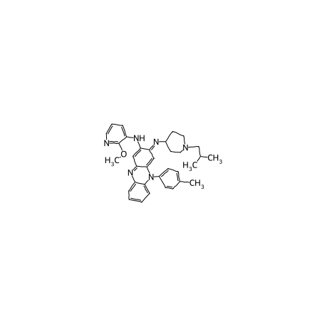 COc1ncccc1Nc1cc2nc3ccccc3n(-c3ccc(C)cc3)c-2c/c1=N\C1CCN(CC(C)C)CC1